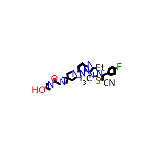 CCc1nc2ccc(N3CCC4(CC3)CN(CC(=O)N3CC(O)C3)C4)nn2c1N(C)c1nc(-c2ccc(F)cc2)c(C#N)s1